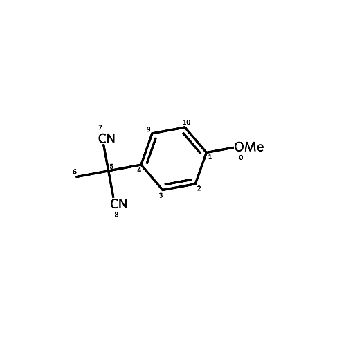 COc1ccc(C(C)(C#N)C#N)cc1